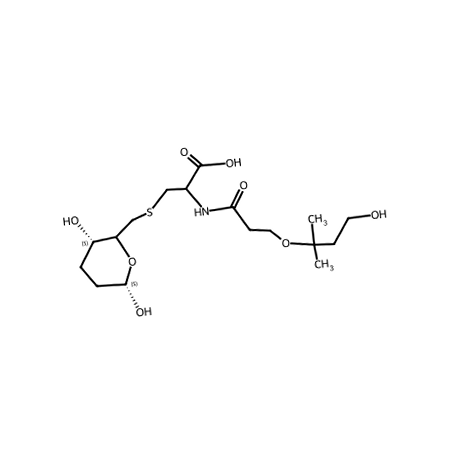 CC(C)(CCO)OCCC(=O)NC(CSCC1O[C@H](O)CC[C@@H]1O)C(=O)O